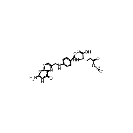 [C-]#[N+]OC(=O)CC[C@H](NC(=O)c1ccc(NCc2cnc3nc(N)[nH]c(=O)c3n2)cc1)C(=O)O